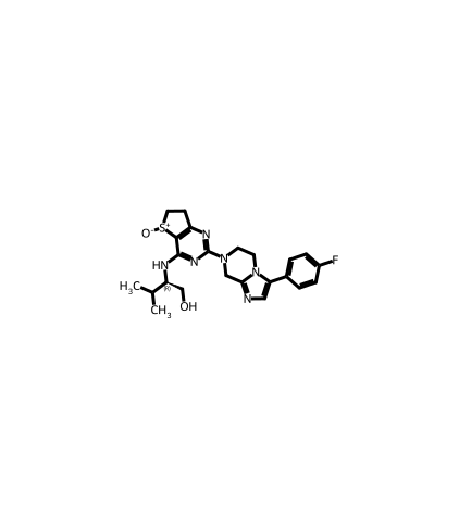 CC(C)[C@H](CO)Nc1nc(N2CCn3c(-c4ccc(F)cc4)cnc3C2)nc2c1[S+]([O-])CC2